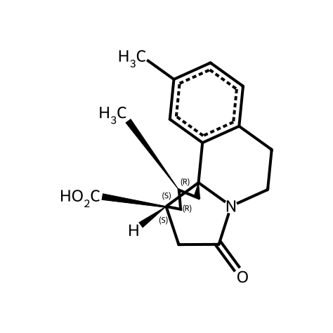 Cc1ccc2c(c1)[C@@]13C[C@H](C)[C@@H](C(=O)O)[C@@H]1CC(=O)N3CC2